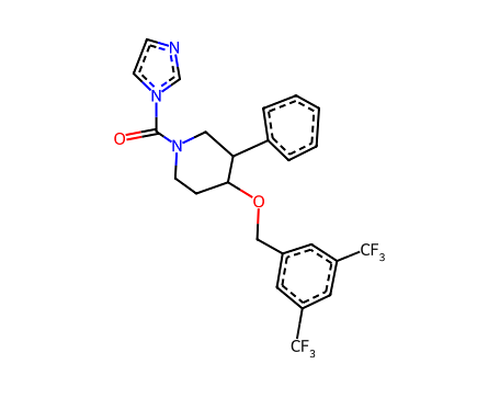 O=C(N1CCC(OCc2cc(C(F)(F)F)cc(C(F)(F)F)c2)C(c2ccccc2)C1)n1ccnc1